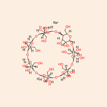 OC[C@H]1O[C@@H]2O[C@H]3[C@H](O)[C@@H](O)[C@@H](O[C@H]4[C@H](O)[C@@H](O)[C@@H](O[C@H]5[C@H](O)[C@@H](O)[C@@H](O[C@H]6[C@H](O)[C@@H](O)[C@@H](O[C@H]7[C@H](O)[C@@H](O)[C@@H](O[C@H]8[C@H](O)[C@@H](O)[C@@H](O[C@H]1[C@H](O)[C@H]2O)O[C@@H]8CO)O[C@@H]7CO)O[C@@H]6CO)O[C@@H]5CO)O[C@@H]4CO)O[C@@H]3CO.[Na+].[OH-]